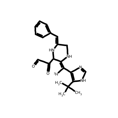 [2H]/C(=C1/NC/C(=C/c2ccccc2)NC1C(=O)C=O)c1nc[nH]c1C(C)(C)C